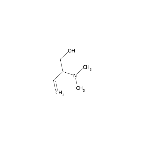 C=CC(CO)N(C)C